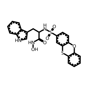 O=C(NO)C(Cc1c[nH]c2ccccc12)NS(=O)(=O)c1ccc2c(c1)Sc1ccccc1O2